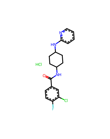 Cl.O=C(NC1CCC(Nc2ccccn2)CC1)c1ccc(F)c(Cl)c1